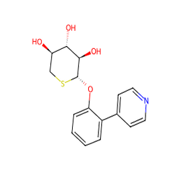 O[C@@H]1[C@@H](O)[C@H](Oc2ccccc2-c2ccncc2)SC[C@H]1O